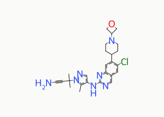 Cc1c(Nc2ncc3cc(Cl)c(C4CCN(C5COC5)CC4)cc3n2)cnn1C(C)(C)C#CN